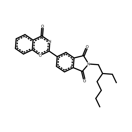 CCCCC(CC)CN1C(=O)c2ccc(-c3nc(=O)c4ccccc4o3)cc2C1=O